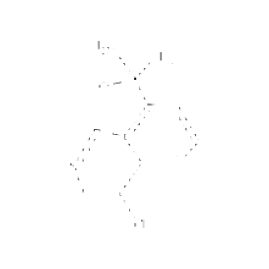 CC(C)(C)c1cccc2c(Cl)cncc12